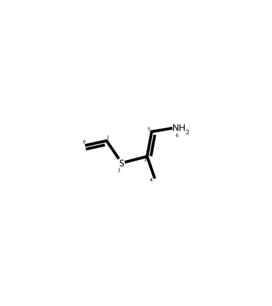 C=CSC(C)=CN